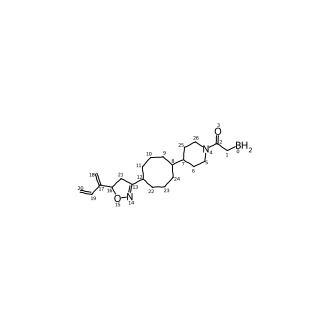 BCC(=O)N1CCC(C2CCCC(C3=NOC(C(=C)C=C)C3)CCC2)CC1